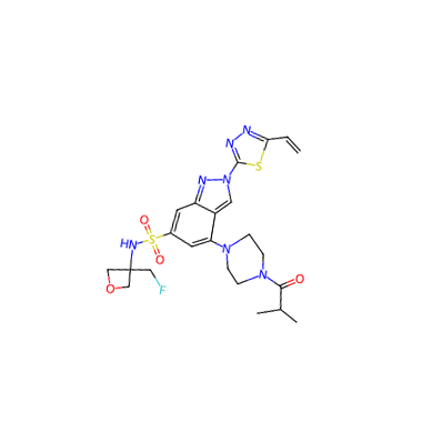 C=Cc1nnc(-n2cc3c(N4CCN(C(=O)C(C)C)CC4)cc(S(=O)(=O)NC4(CF)COC4)cc3n2)s1